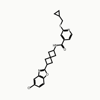 O=C(NC1CC2(C1)CC(c1nc3cc(Cl)ccc3o1)C2)c1ccnc(SCC2CC2)c1